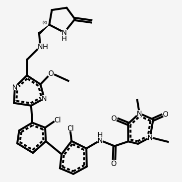 C=C1CC[C@H](CNCc2ncc(-c3cccc(-c4cccc(NC(=O)c5cn(C)c(=O)n(C)c5=O)c4Cl)c3Cl)nc2OC)N1